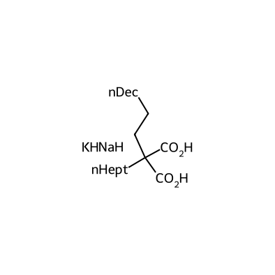 CCCCCCCCCCCCC(CCCCCCC)(C(=O)O)C(=O)O.[KH].[NaH]